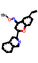 C=Cc1ccc2oc(-c3cc4ccccc4cn3)cc(=NOC(C)(C)C)c2c1